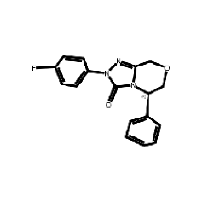 O=c1n(-c2ccc(F)cc2)nc2n1[C@H](c1ccccc1)COC2